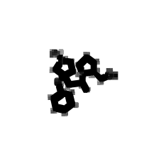 CC(C)N1CCC(CC(C)N2CCC[C@H]2CO)(Oc2ccccc2)C1